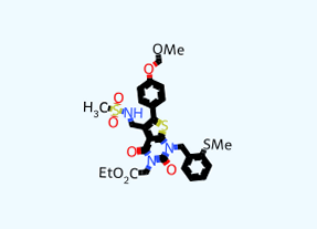 CCOC(=O)Cn1c(=O)c2c(CNS(C)(=O)=O)c(-c3ccc(OCOC)cc3)sc2n(Cc2ccccc2SC)c1=O